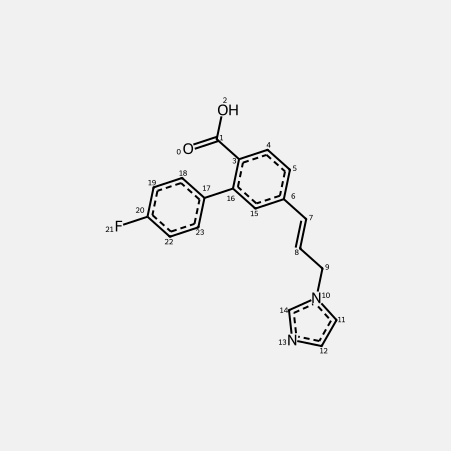 O=C(O)c1ccc(C=CCn2ccnc2)cc1-c1ccc(F)cc1